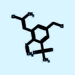 C=Nc1c(/C=C(\C)Cl)cc(CCl)cc1S(C)(=O)=O